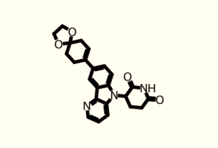 O=C1CCC(n2c3ccc(C4=CCC5(CC4)OCCO5)cc3c3ncccc32)C(=O)N1